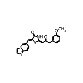 COc1cccc(CC(=O)/C=c2\[nH]c(=O)/c(=C/c3ccc4nccn4c3)s2)c1